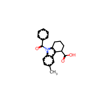 Cc1ccc2c(c1)c1c(n2C(=O)c2ccccc2)CCCC1C(=O)O